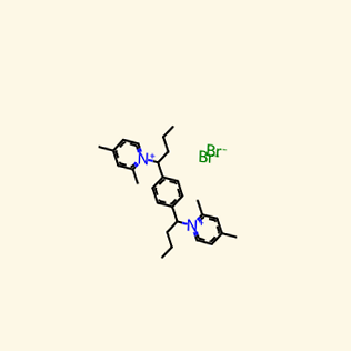 CCCC(c1ccc(C(CCC)[n+]2ccc(C)cc2C)cc1)[n+]1ccc(C)cc1C.[Br-].[Br-]